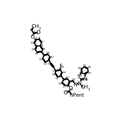 C=CC(=O)Oc1ccc2cc(-c3ccc(C#Cc4ccc(-c5ccc(OC(=O)CCCCC)c(/C=N/N(C)c6nc7ccccc7s6)c5)cc4F)cc3)ccc2c1